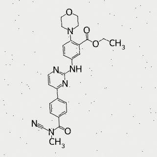 CCOC(=O)c1cc(Nc2nccc(-c3ccc(C(=O)N(C)C#N)cc3)n2)ccc1N1CCOCC1